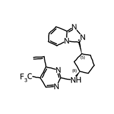 C=Cc1nc(N[C@@H]2CCC[C@H](c3nnc4ccccn34)C2)ncc1C(F)(F)F